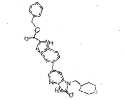 O=C(OCc1ccccc1)c1cc2cc(-c3cnc4[nH]c(=O)n(CC5CCOCC5)c4c3)ccc2[nH]1